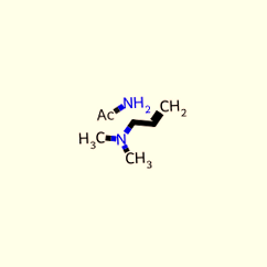 C=CCN(C)C.CC(N)=O